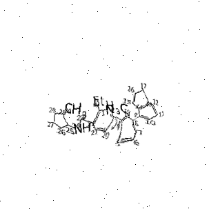 CCc1nc(-c2cccc(-c3cccc4c3CCC4)c2C)ccc1CNC1CCCC1C